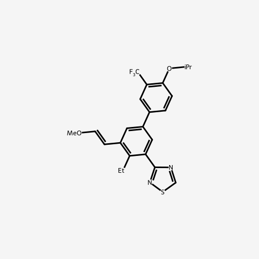 CCc1c(C=COC)cc(-c2ccc(OC(C)C)c(C(F)(F)F)c2)cc1-c1ncsn1